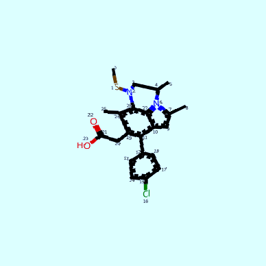 CSN1CC(C)n2c(C)cc3c(-c4ccc(Cl)cc4)c(CC(=O)O)c(C)c1c32